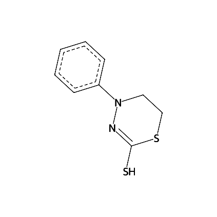 SC1=NN(c2ccccc2)CCS1